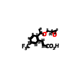 C[C@@H](OC[C@H]1CO1)c1ccc(C(F)(F)F)cc1C=CC(=O)O